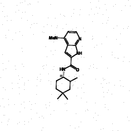 CNc1ccnc2[nH]c(C(=O)N[C@H]3CCC(C)(C)CC3C)cc12